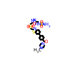 CN1CCN(C(=O)c2ccc(-c3ccc4nc(CS(=O)(=O)Cc5nnc(CNS(N)(=O)=O)o5)sc4c3)cc2)CC1